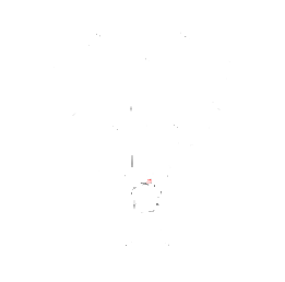 Cc1cc(-c2c(-n3c4cc(-c5cccc(C#N)c5)ccc4c4ccc(-c5cccc(C#N)c5)cc43)cc(C#N)cc2-n2c3cc(-c4cccc(C#N)c4)ccc3c3ccc(-c4cccc(C#N)c4)cc32)cc(C)n1